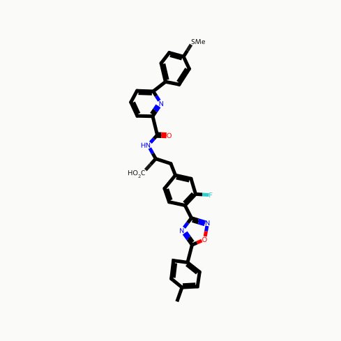 CSc1ccc(-c2cccc(C(=O)NC(Cc3ccc(-c4noc(-c5ccc(C)cc5)n4)c(F)c3)C(=O)O)n2)cc1